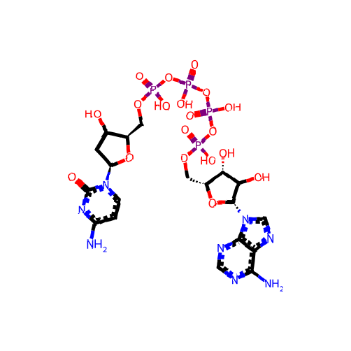 Nc1ccn([C@H]2CC(O)[C@@H](COP(=O)(O)OP(=O)(O)OP(=O)(O)OP(=O)(O)OC[C@H]3O[C@@H](n4cnc5c(N)ncnc54)C(O)[C@H]3O)O2)c(=O)n1